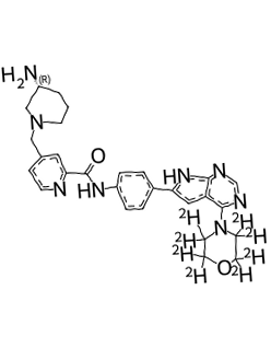 [2H]C1([2H])OC([2H])([2H])C([2H])([2H])N(c2ncnc3[nH]c(-c4ccc(NC(=O)c5cc(CN6CCC[C@@H](N)C6)ccn5)cc4)cc23)C1([2H])[2H]